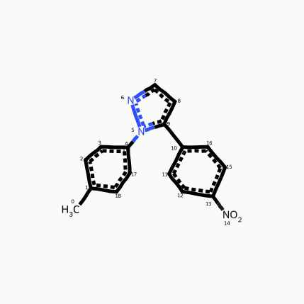 Cc1ccc(-n2nccc2-c2ccc([N+](=O)[O-])cc2)cc1